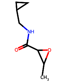 CC1OC1C(=O)NCC1CC1